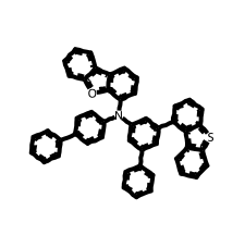 c1ccc(-c2ccc(N(c3cc(-c4ccccc4)cc(-c4cccc5sc6ccccc6c45)c3)c3cccc4c3oc3ccccc34)cc2)cc1